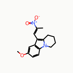 COc1ccc2c(c1)c(C=C(C)[N+](=O)[O-])c1n2CCCC1